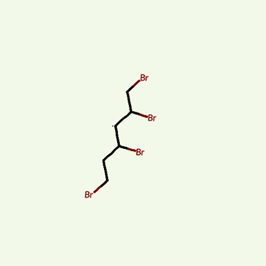 BrCCC(Br)[CH]C(Br)CBr